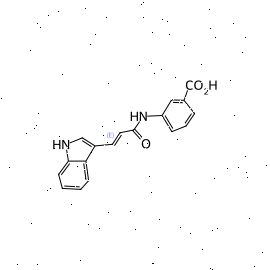 O=C(/C=C/c1c[nH]c2ccccc12)Nc1cccc(C(=O)O)c1